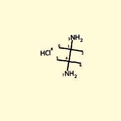 CC(C)(N)C(C)(C)N.Cl